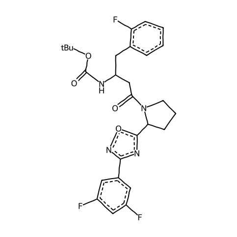 CC(C)(C)OC(=O)NC(CC(=O)N1CCCC1c1nc(-c2cc(F)cc(F)c2)no1)Cc1ccccc1F